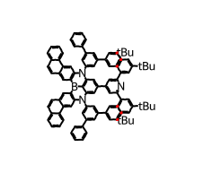 CC(C)(C)c1cc(-c2cc(-c3cc4c5c(c3)N(c3cc(-c6ccccc6)cc(-c6ccccc6)c3)c3cc6c(ccc7ccccc76)cc3B5c3cc5ccc6ccccc6c5cc3N4c3cc(-c4ccccc4)cc(-c4ccccc4)c3)cc(-c3cc(C(C)(C)C)cc(C(C)(C)C)c3)n2)cc(C(C)(C)C)c1